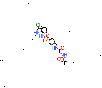 CC(C)(C)OC(=O)NCC(=O)NCc1ccc(S(=O)(=O)Nc2cccc3c(Cl)c[nH]c23)cc1